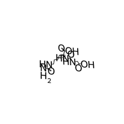 NC(=O)NCCCC[C@H](NC(=O)NCC(=O)O)C(=O)O